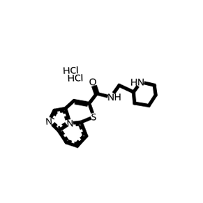 Cl.Cl.O=C(NCC1CCCCN1)C1=Cc2cnc3cccc(n23)S1